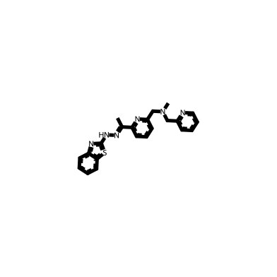 C/C(=N\Nc1nc2ccccc2s1)c1cccc(CN(C)Cc2ccccn2)n1